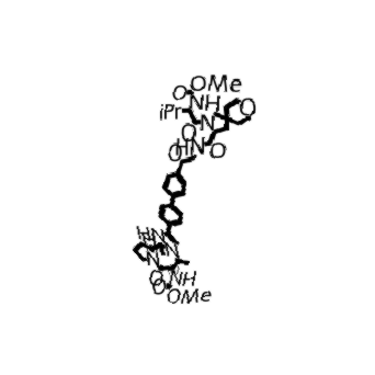 COC(=O)NC(C(=O)N1CC2(CCOCC2)CC1C(=O)NCC(=O)c1ccc(-c2ccc(C3=CN4C(C)[C@H](NC(=O)OC)C(=O)N5CCC[C@H]5C4(C)N3)cc2)cc1)C(C)C